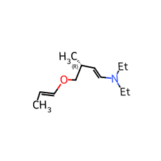 CC=COC[C@H](C)C=CN(CC)CC